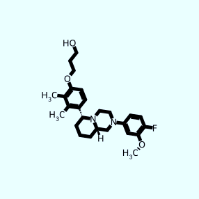 COc1cc(N2CCN3[C@@H](CCC[C@@H]3c3ccc(OCCCO)c(C)c3C)C2)ccc1F